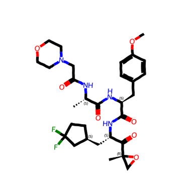 COc1ccc(C[C@H](NC(=O)[C@H](C)NC(=O)CN2CCOCC2)C(=O)N[C@@H](C[C@@H]2CCC(F)(F)C2)C(=O)[C@@]2(C)CO2)cc1